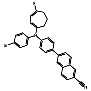 N#Cc1ccc2cc(-c3ccc(N(C4=CC=C(Br)CCC4)c4ccc(Br)cc4)cc3)ccc2c1